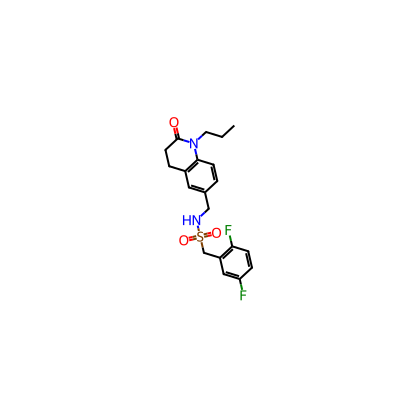 CCCN1C(=O)CCc2cc(CNS(=O)(=O)Cc3cc(F)ccc3F)ccc21